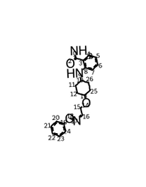 NC(=O)c1ccccc1NC1CCC(OC/C=N\Oc2ccccc2)CC1